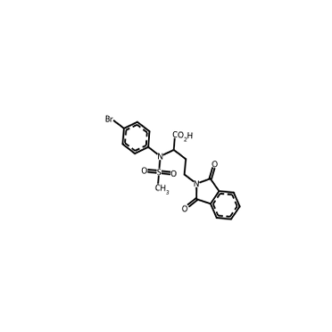 CS(=O)(=O)N(c1ccc(Br)cc1)C(CCN1C(=O)c2ccccc2C1=O)C(=O)O